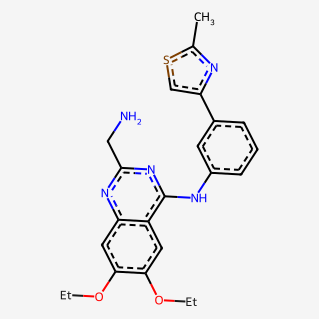 CCOc1cc2nc(CN)nc(Nc3cccc(-c4csc(C)n4)c3)c2cc1OCC